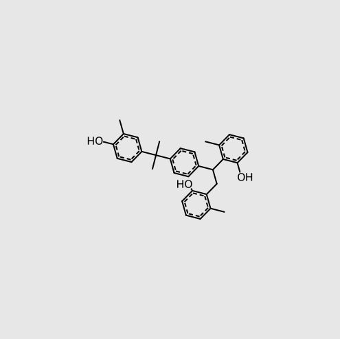 Cc1cc(C(C)(C)c2ccc(C(Cc3c(C)cccc3O)c3c(C)cccc3O)cc2)ccc1O